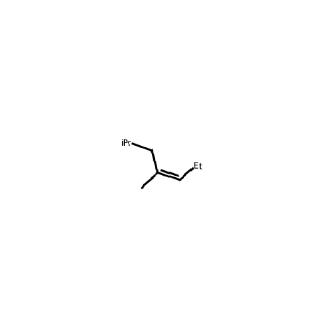 CCC=C(C)CC(C)C